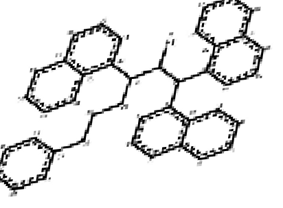 CCC([C](c1cccc2ccccc12)c1cccc2ccccc12)C(CCCc1ccccc1)c1cccc2ccccc12